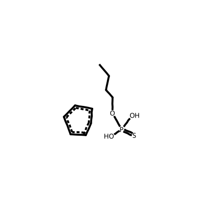 CCCCOP(O)(O)=S.c1ccccc1